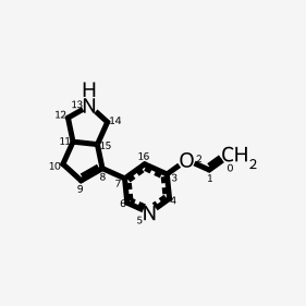 C=COc1cncc(C2=CCC3CNCC23)c1